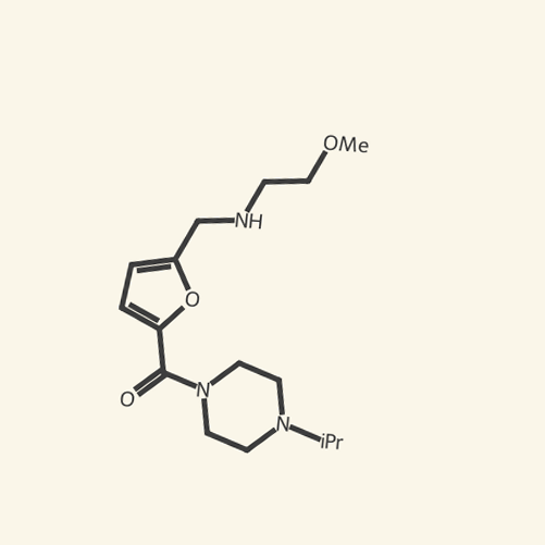 COCCNCc1ccc(C(=O)N2CCN(C(C)C)CC2)o1